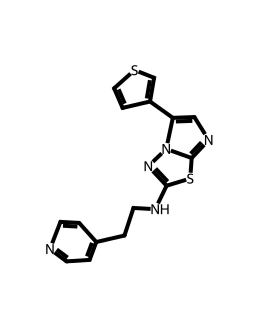 c1cc(CCNc2nn3c(-c4ccsc4)cnc3s2)ccn1